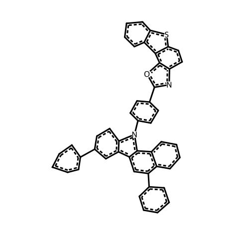 c1ccc(-c2ccc3c(c2)c2cc(-c4ccccc4)c4ccccc4c2n3-c2ccc(-c3nc4ccc5sc6ccccc6c5c4o3)cc2)cc1